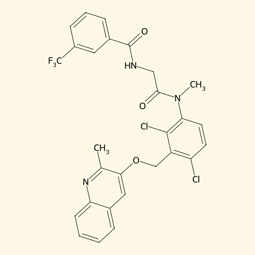 Cc1nc2ccccc2cc1OCc1c(Cl)ccc(N(C)C(=O)CNC(=O)c2cccc(C(F)(F)F)c2)c1Cl